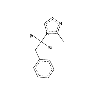 Cc1nccn1C(Br)(Br)Cc1ccccc1